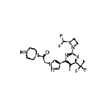 Cc1c(-c2cnn(CC(=O)N3CCNCC3)c2)nc(N2CC[C@@H]2C(F)F)nc1C(F)(F)F